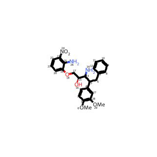 COc1ccc(C(Cc2ccccc2)C(N)[C@@H](O)COc2cccc([N+](=O)[O-])c2N)cc1OC